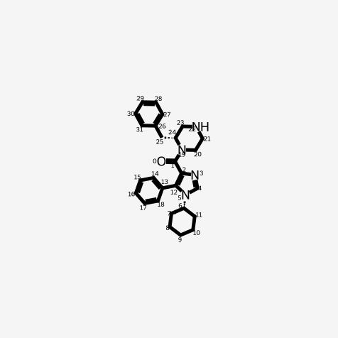 O=C(c1ncn([C@H]2[CH]CCCC2)c1-c1ccccc1)N1CCNC[C@H]1Cc1ccccc1